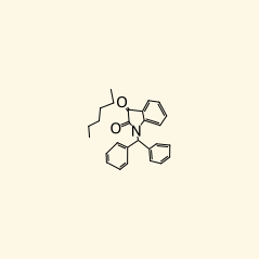 CCCCCC.O=C1C(=O)N(C(c2ccccc2)c2ccccc2)c2ccccc21